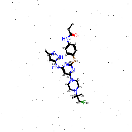 CCC(=O)Nc1ccc(Sc2nc(Nc3cc(C)n[nH]3)cc(N3CCN(C(C)(C)CF)CC3)n2)cc1